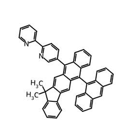 CC1(C)c2ccccc2-c2cc3c(-c4c5ccccc5cc5ccccc45)c4ccccc4c(-c4ccc(-c5ccccn5)nc4)c3cc21